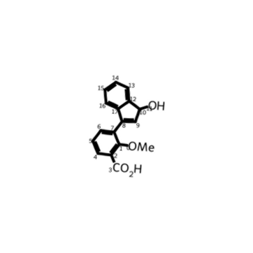 COc1c(C(=O)O)cccc1C1=CC(O)c2ccccc21